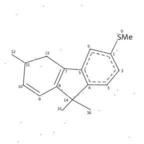 CSc1ccc2c(c1)C1=C(C=CC(C)C1)C2(C)C